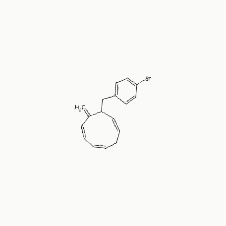 C=C1/C=C\C=C/C/C=C\C1Cc1ccc(Br)cc1